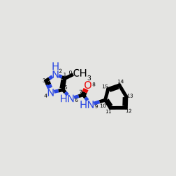 Cc1[nH]cnc1NC(=O)Nc1ccccc1